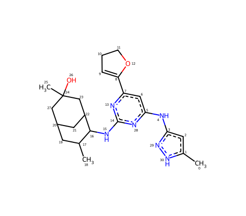 Cc1cc(Nc2cc(C3=CCCO3)nc(NC3C(C)CC4CC3CC(C)(O)C4)n2)n[nH]1